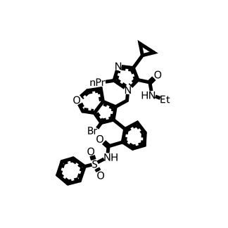 CCCc1nc(C2CC2)c(C(=O)NCC)n1Cc1c2ccocc-2c(Br)c1-c1ccccc1C(=O)NS(=O)(=O)c1ccccc1